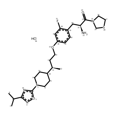 CC(C)c1noc(N2CCC([C@H](C)CCOc3ccc(C[C@H](N)C(=O)N4CCSC4)c(F)c3)CC2)n1.Cl